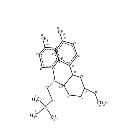 C[Si](C)(C)CC[C@H](c1ccc(C(F)(F)F)cc1)N1CCC(CC(=O)O)CC1c1ccc(C(F)(F)F)cc1